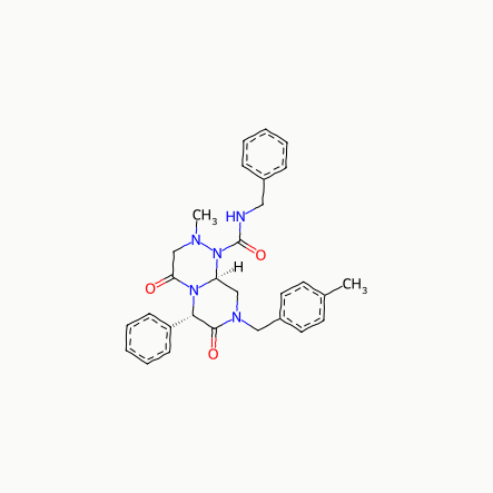 Cc1ccc(CN2C[C@H]3N(C(=O)CN(C)N3C(=O)NCc3ccccc3)[C@@H](c3ccccc3)C2=O)cc1